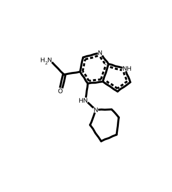 NC(=O)c1cnc2[nH]ccc2c1NN1CCCCC1